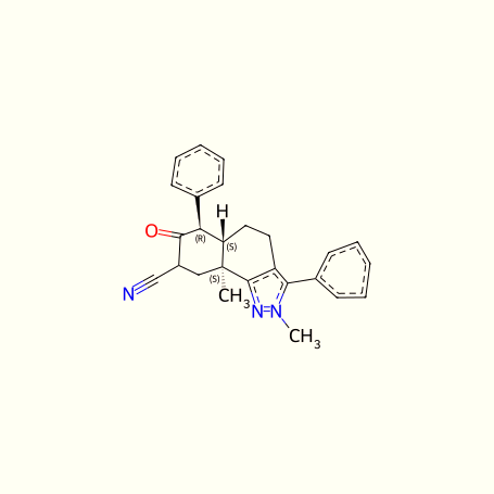 Cn1nc2c(c1-c1ccccc1)CC[C@H]1[C@H](c3ccccc3)C(=O)C(C#N)C[C@]21C